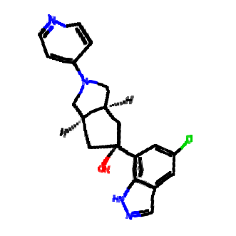 O[C@@]1(c2cc(Cl)cc3cn[nH]c23)C[C@H]2CN(c3ccncc3)C[C@H]2C1